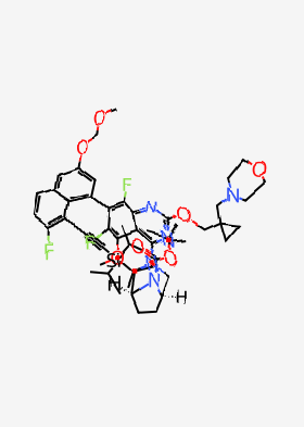 COCOc1cc(-c2c(F)c(OC)c3c(N4C[C@H]5CC[C@@H](C4)N5C(=O)OC(C)(C)C)nc(OCC4(CN5CCOCC5)CC4)nc3c2F)c2c(C#C[Si](C(C)C)(C(C)C)C(C)C)c(F)ccc2c1